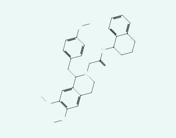 COc1ccc(CC2c3cc(OC)c(OC)cc3CCN2CC(=O)NC2CCCc3ccccc32)cc1